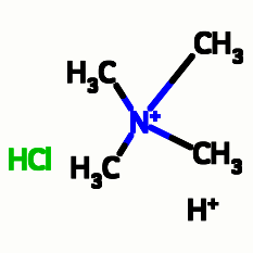 C[N+](C)(C)C.Cl.[H+]